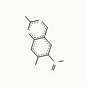 Cc1ncc2cc([N+](=O)[O-])c(N)cc2n1